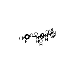 COc1nccnc1C(=O)NC12CC(=C(NC(=O)COc3ccc(Cl)c(F)c3)C(O)C1)C2